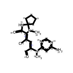 CN(/C(C=O)=C/C(Cl)=C1/C(=O)NC2(CCCC2)N1C)c1cc(N)ncn1